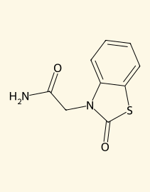 NC(=O)Cn1c(=O)sc2ccccc21